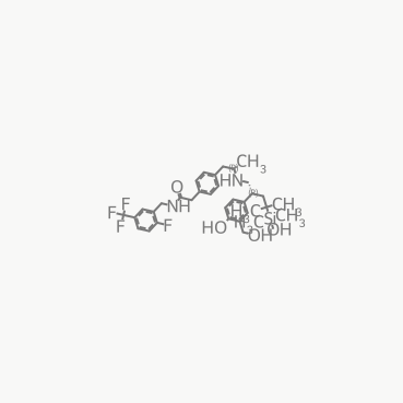 C[C@H](Cc1ccc(CC(=O)NCc2cc(C(F)(F)F)ccc2F)cc1)NC[C@H](CC(C)(C)[Si](C)(C)O)c1ccc(O)c(CO)c1